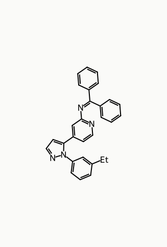 CCc1cccc(-n2nccc2-c2ccnc(N=C(c3ccccc3)c3ccccc3)c2)c1